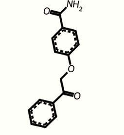 NC(=O)c1ccc(OCC(=O)c2ccccc2)cc1